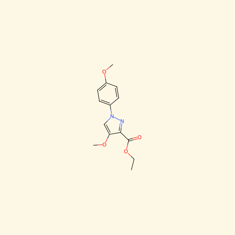 CCOC(=O)c1nn(-c2ccc(OC)cc2)cc1OC